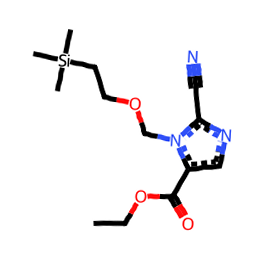 CCOC(=O)c1cnc(C#N)n1COCC[Si](C)(C)C